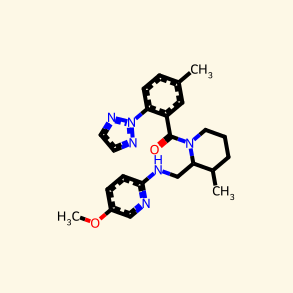 COc1ccc(NCC2C(C)CCCN2C(=O)c2cc(C)ccc2-n2nccn2)nc1